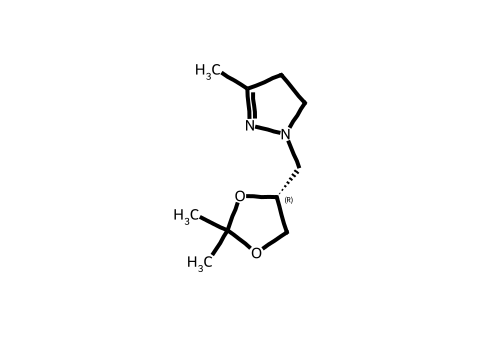 CC1=NN(C[C@@H]2COC(C)(C)O2)CC1